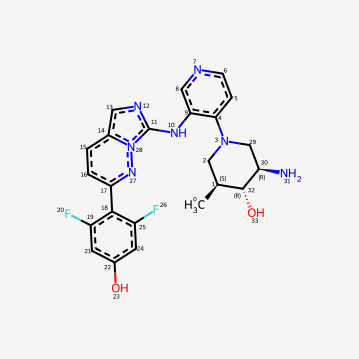 C[C@H]1CN(c2ccncc2Nc2ncc3ccc(-c4c(F)cc(O)cc4F)nn23)C[C@@H](N)[C@@H]1O